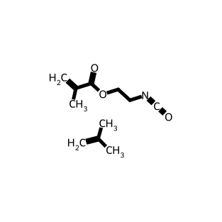 C=C(C)C.C=C(C)C(=O)OCCN=C=O